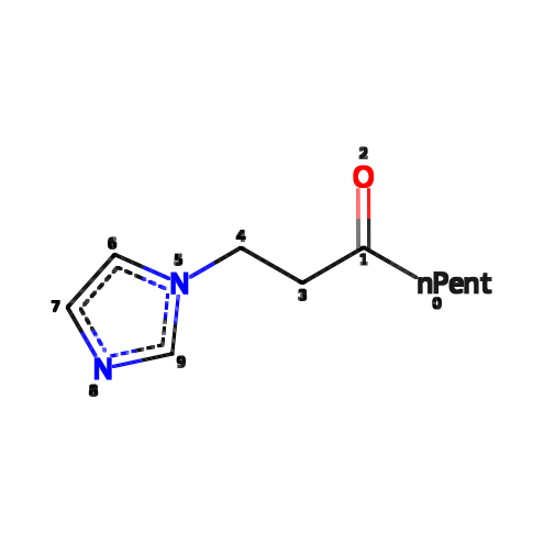 CCCCCC(=O)CCn1ccnc1